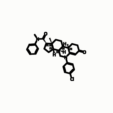 CN(C(=O)[C@H]1CC[C@H]2[C@@H]3CN(c4ccc(Cl)cc4)C4=CC(=O)CC[C@]4(C)[C@H]3CC[C@]12C)c1ccccc1